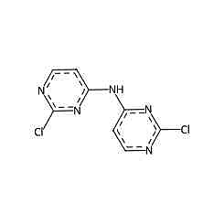 Clc1nccc(Nc2ccnc(Cl)n2)n1